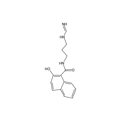 N=CNCCCNC(=O)c1c(O)ccc2ccccc12